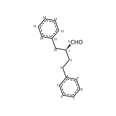 O=C[C@@H](CCc1ccccc1)Cc1ccccc1